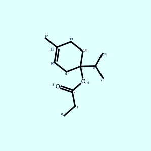 CCC(=O)OC1(C(C)C)CC=C(C)CC1